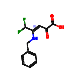 O=C(O)C(=O)/C=C(\NCc1ccccc1)C(F)F